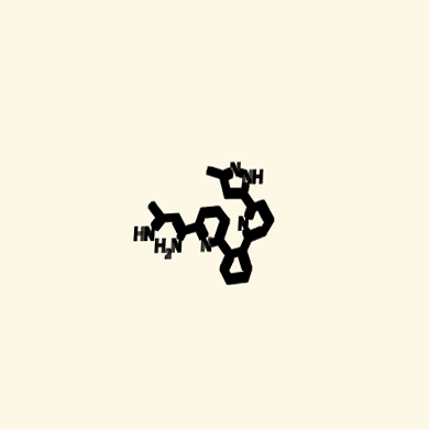 CC(=N)/C=C(\N)c1cccc(-c2ccccc2-c2cccc(-c3cc(C)n[nH]3)n2)n1